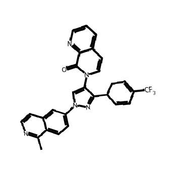 Cc1nccc2cc(-n3cc(-n4ccc5cccnc5c4=O)c(C4C=CC(C(F)(F)F)=CC4)n3)ccc12